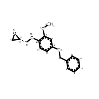 COc1cc(OCc2ccccc2)ccc1OC[C@@H]1CO1